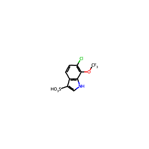 O=S(=O)(O)c1c[nH]c2c(OC(F)(F)F)c(Cl)ccc12